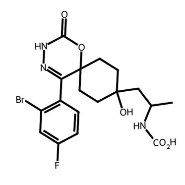 CC(CC1(O)CCC2(CC1)OC(=O)NN=C2c1ccc(F)cc1Br)NC(=O)O